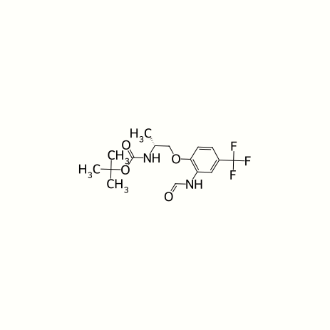 C[C@H](COc1ccc(C(F)(F)F)cc1NC=O)NC(=O)OC(C)(C)C